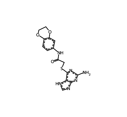 Nc1nc(SCC(=O)Nc2ccc3c(c2)OCCO3)c2[nH]cnc2n1